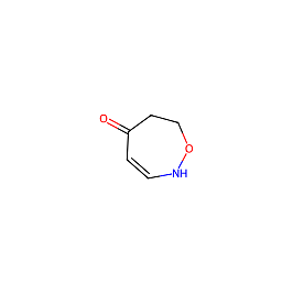 O=C1C=CNOCC1